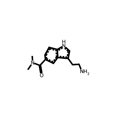 CN(C)C(=O)c1ccc2[nH]cc(CCN)c2c1